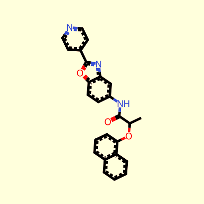 CC(Oc1cccc2ccccc12)C(=O)Nc1ccc2oc(-c3ccncc3)nc2c1